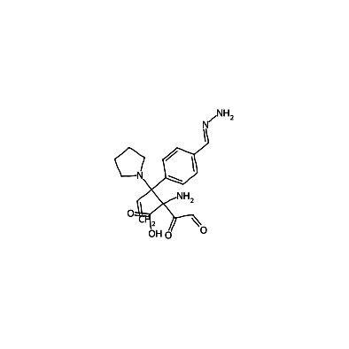 C=CC(c1ccc(C=NN)cc1)(N1CCCC1)C(N)(C(=O)O)C(=O)C=O